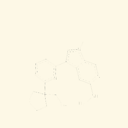 CNc1cc2c(-c3cccc(C4(CO)CCOC4)n3)cn(C)c2cn1